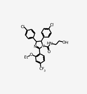 CCOc1cc(C(F)(F)F)ccc1C1=NC(c2ccc(Cl)cc2)C(c2ccc(Cl)cc2)N1C(=O)NCCO